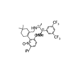 COc1ccc(C(C)C)[n+]([O-])c1C1=C(CN[C@@H](C)[C@H](O)c2cc(C(F)(F)F)cc(C(F)(F)F)c2)CC(C)(C)CC1